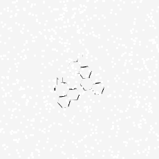 C1=Cc2cccc3cccc(c23)C=N1.O=C1CCCc2c1ccc1c2ccc2ccccc21